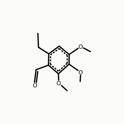 CCc1cc(OC)c(OC)c(OC)c1C=O